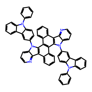 c1ccc(-n2c3ccccc3c3cc(-n4c5cccnc5c5c6ccccc6c6c(c7ccccc7c7c8ncccc8n(-c8ccc9c(c8)c8ccccc8n9-c8ccccc8)c76)c54)ccc32)cc1